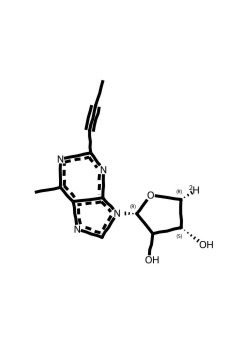 [2H][C@H]1O[C@@H](n2cnc3c(C)nc(C#CC)nc32)C(O)[C@H]1O